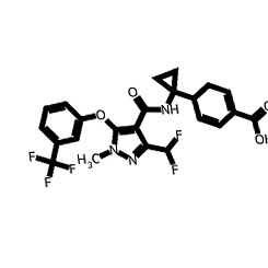 Cn1nc(C(F)F)c(C(=O)NC2(C3C=CC(C(=O)O)=CC3)CC2)c1Oc1cccc(C(F)(F)F)c1